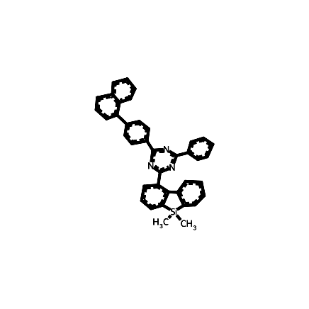 C[Si]1(C)c2ccccc2-c2c(-c3nc(-c4ccccc4)nc(-c4ccc(-c5cccc6ccccc56)cc4)n3)cccc21